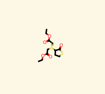 CCOC(=O)C[SH](CC(=O)OCC)C1CCSC1=O